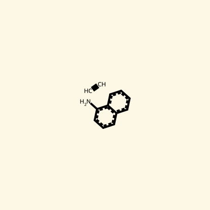 C#C.Nc1cccc2ccccc12